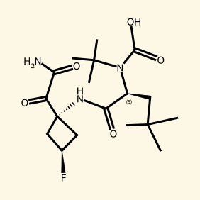 CC(C)(C)C[C@@H](C(=O)N[C@]1(C(=O)C(N)=O)C[C@@H](F)C1)N(C(=O)O)C(C)(C)C